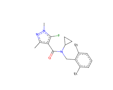 CCc1cccc(CC)c1CN(C(=O)c1c(C)nn(C)c1F)C1CC1